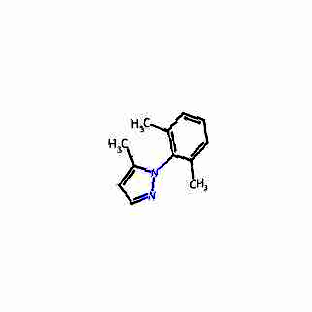 Cc1cccc(C)c1-n1nc[c]c1C